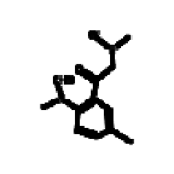 Cc1ccc(N(C)C=O)c(C(=O)C[S+](C)[O-])c1